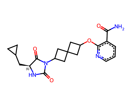 NC(=O)c1cccnc1OC1CC2(C1)CC(N1C(=O)N[C@@H](CC3CC3)C1=O)C2